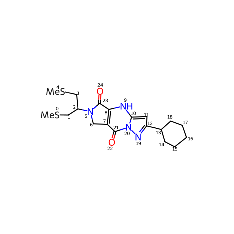 CSCC(CSC)N1Cc2c([nH]c3cc(C4CCCCC4)nn3c2=O)C1=O